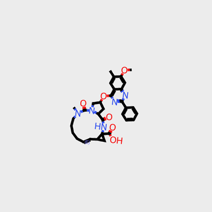 COc1cc2nc(-c3ccccc3)nc(OC3CC4C(=O)NC5(C(=O)O)CC5/C=C/CCCCN(C)C(=O)N4C3)c2cc1C